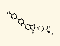 NC(=O)C1CCN(c2nc3cc(-c4ccc(-c5ccc(Cl)cc5)cn4)ccc3[nH]2)CC1